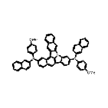 COc1ccc(N(c2ccc3ccccc3c2)c2ccc3cc4c5ccc(N(c6ccc(OC)cc6)c6ccc7ccccc7c6)cc5n5c6cc7ccccc7cc6c(c3c2)c45)cc1